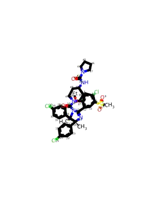 CCOc1cc(Cl)c(S(C)(=O)=O)cc1C1=N[C@@](C)(c2ccc(Cl)cc2)[C@@](C)(c2ccc(Cl)cc2)N1C(=O)N1CCC(NC(=O)N2CCCC2)CC1